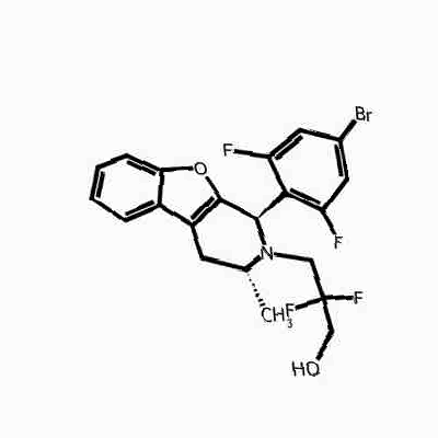 C[C@@H]1Cc2c(oc3ccccc23)[C@@H](c2c(F)cc(Br)cc2F)N1CC(F)(F)CO